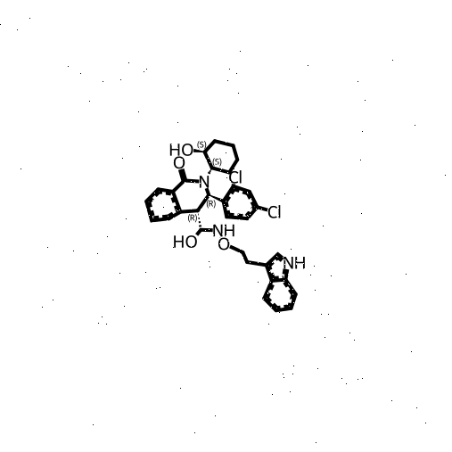 O=C1c2ccccc2[C@@H](C(O)NOCCc2c[nH]c3ccccc23)[C@H](c2ccc(Cl)cc2Cl)N1[C@H]1CCCC[C@@H]1O